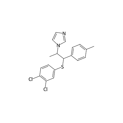 Cc1ccc(C(Sc2ccc(Cl)c(Cl)c2)C(C)n2ccnc2)cc1